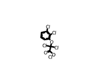 O=C(OCl)C(Cl)(Cl)Oc1cccc(Cl)c1Cl